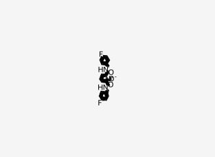 O=C(NCc1ccc(F)cc1)c1cccc(C(=O)NCc2ccc(F)cc2)[n+]1[O-]